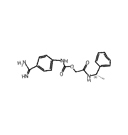 C[C@H](NC(=O)COC(=O)Nc1ccc(C(=N)N)cc1)c1ccccc1